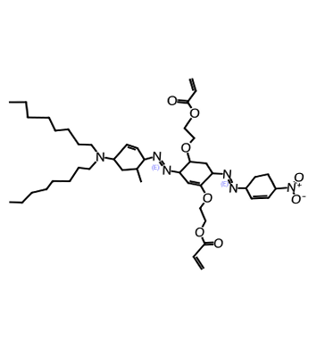 C=CC(=O)OCCOC1=CC(/N=N/C2C=CC(N(CCCCCCCC)CCCCCCCC)CC2C)C(OCCOC(=O)C=C)CC1/N=N/C1C=CC([N+](=O)[O-])CC1